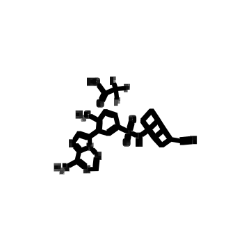 Cc1ccc(S(=O)(=O)NC23C4C5C2C2C3C4C52C#N)cc1-c1cnc2c(N)ncnn12.O=C(O)C(F)(F)F